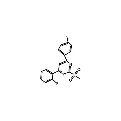 Cc1ccc(-c2cc(-c3ccccc3F)nc(S(C)(=O)=O)n2)cc1